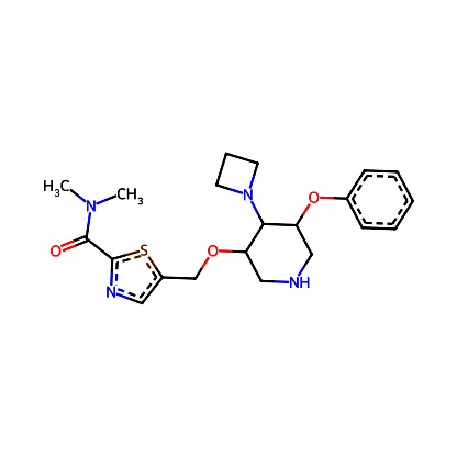 CN(C)C(=O)c1ncc(COC2CNCC(Oc3ccccc3)C2N2CCC2)s1